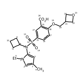 CCn1nc(C)cc1N(C1CCC1)S(=O)(=O)c1ccc(OCC2COC2)c(C(=O)O)c1